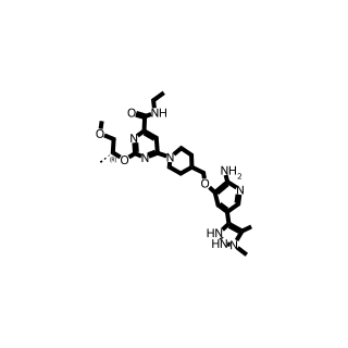 CCNC(=O)c1cc(N2CCC(COc3cc(C4=C(C)N(C)NN4)cnc3N)CC2)nc(O[C@H](C)COC)n1